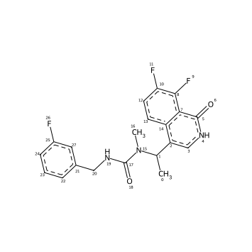 CC(c1c[nH]c(=O)c2c(F)c(F)ccc12)N(C)C(=O)NCc1cccc(F)c1